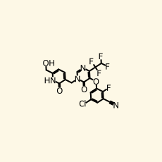 N#Cc1cc(Cl)cc(Oc2c(C(F)(F)C(F)F)ncn(Cc3ccc(CO)[nH]c3=O)c2=O)c1F